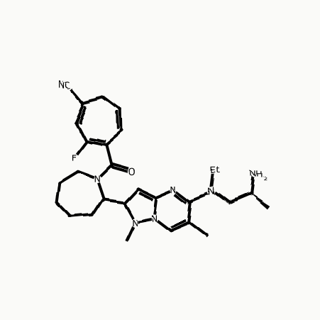 CCN(C[C@H](C)N)C1=NC2=CC(C3CCCCCN3C(=O)C3=C(F)C=C(C#N)CC=C3)N(C)N2C=C1C